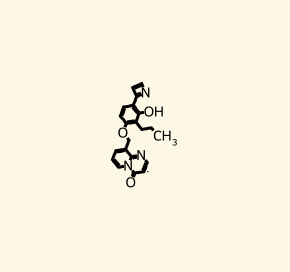 CCCc1c(OCc2cccn3c(=O)[c]cnc23)ccc(C2=NC=C2)c1O